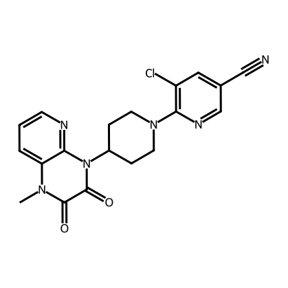 Cn1c(=O)c(=O)n(C2CCN(c3ncc(C#N)cc3Cl)CC2)c2ncccc21